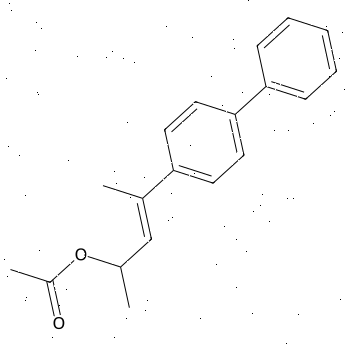 CC(=O)OC(C)C=C(C)c1ccc(-c2ccccc2)cc1